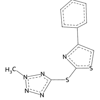 Cn1nnc(Sc2nc(-c3ccccc3)cs2)n1